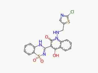 O=c1c(C2=NS(=O)(=O)c3ccccc3N2)c(O)c2ccccc2n1NCc1cnc(Cl)s1